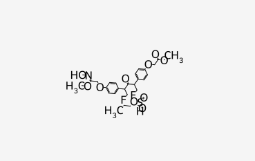 CCCO[SH](=O)=O.COC(=O)COc1ccc(C(CF)C(=O)C(CF)c2ccc(OCC(=NO)OC)cc2)cc1